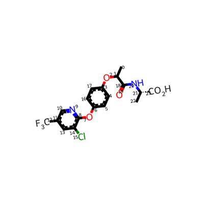 CC(Oc1ccc(Oc2ncc(C(F)(F)F)cc2Cl)cc1)C(=O)N[C@@H](C)C(=O)O